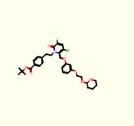 CC(C)(C)OC(=O)c1ccc(CCn2c(COc3cccc(OCCOC4CCCCO4)c3)c(Cl)cc(Cl)c2=O)cc1